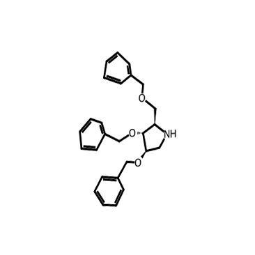 c1ccc(COC[C@H]2NC[C@@H](OCc3ccccc3)[C@@H]2OCc2ccccc2)cc1